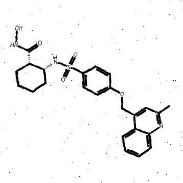 Cc1cc(COc2ccc(S(=O)(=O)N[C@@H]3CCCC[C@@H]3C(=O)NO)cc2)c2ccccc2n1